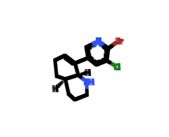 Clc1cc(C2=CCC[C@@H]3CCCN[C@H]23)cnc1Br